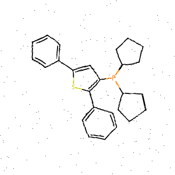 c1ccc(-c2cc(P(C3CCCC3)C3CCCC3)c(-c3ccccc3)s2)cc1